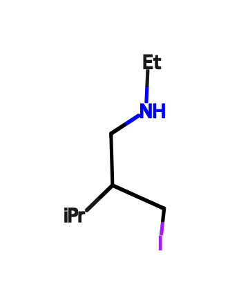 CCNCC(CI)C(C)C